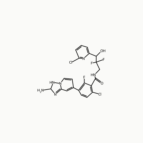 NC1N=C2C=C(c3ccc(Cl)c(C(=O)NCC(F)(F)C(O)c4cccc(Cl)n4)c3F)C=CN2N1